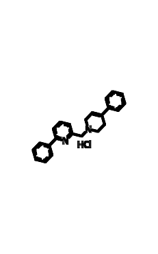 C1=C(c2ccccc2)CCN(Cc2cccc(-c3ccccc3)n2)C1.Cl